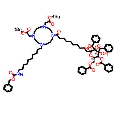 CC(C)(C)OC(=O)CN1CCCN(CC(=O)OC(C)(C)C)CCN(C(=O)CCCCCCCCC[C@]2(O)O[C@H](COC(=O)c3ccccc3)[C@@H](OC(=O)c3ccccc3)[C@@](O)(C(=O)c3ccccc3)[C@]2(O)C(=O)c2ccccc2)CCCN(CCCCCCCCCCNC(=O)OCc2ccccc2)CC1